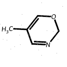 CC1=COCN=C1